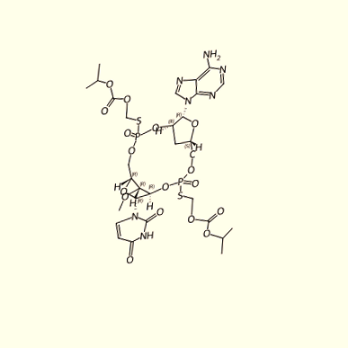 CO[C@H]1[C@H]2OP(=O)(SCOC(=O)OC(C)C)OC[C@@H]3C[C@@H](OP(=O)(SCOC(=O)OC(C)C)OC[C@H]1O[C@H]2n1ccc(=O)[nH]c1=O)[C@H](n1cnc2c(N)ncnc21)O3